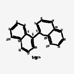 F.c1ccc2c(-c3cccc4ccccc34)cccc2c1